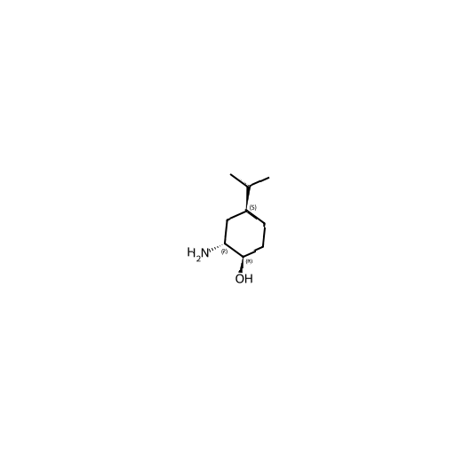 CC(C)[C@H]1CC[C@@H](O)[C@H](N)C1